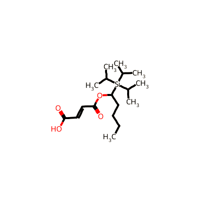 CCCCC(OC(=O)C=CC(=O)O)[Si](C(C)C)(C(C)C)C(C)C